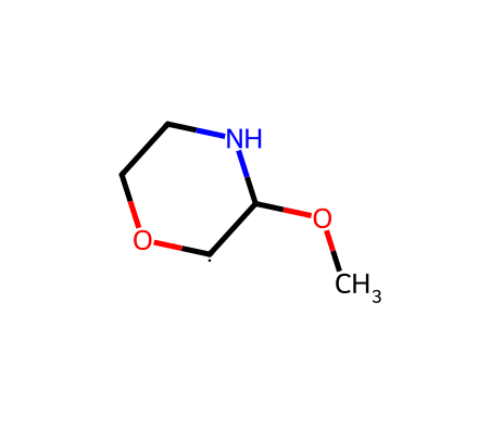 COC1[CH]OCCN1